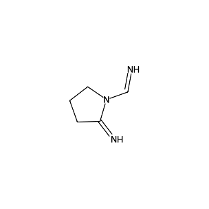 N=CN1CCCC1=N